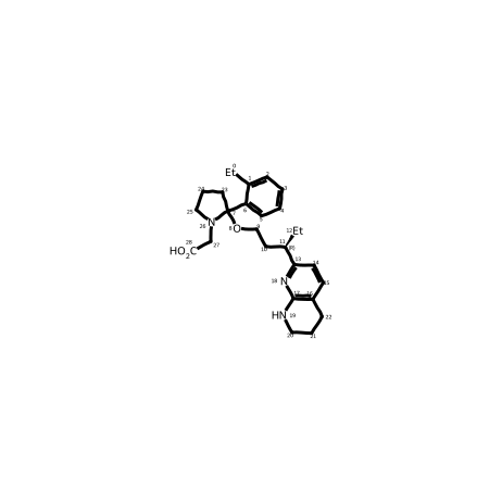 CCc1ccccc1C1(OCC[C@@H](CC)c2ccc3c(n2)NCCC3)CCCN1CC(=O)O